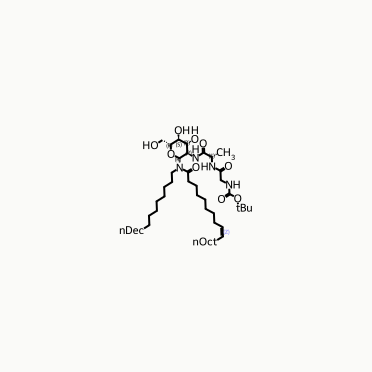 CCCCCCCC/C=C\CCCCCCCC(=O)N(CCCCCCCCCCCCCCCCCC)[C@@H]1O[C@H](CO)[C@@H](O)[C@H](O)[C@H]1NC(=O)[C@H](C)NC(=O)CNC(=O)OC(C)(C)C